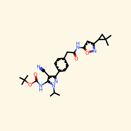 CC(C)n1nc(-c2ccc(CC(=O)Nc3cc(C4CC4(C)C)no3)cc2)c(C#N)c1NC(=O)OC(C)(C)C